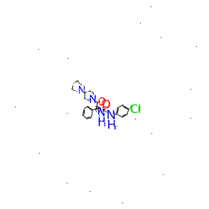 O=C(Nc1ccc(Cl)cc1)N[C@@H](C(=O)N1CCC(N2CCCCC2)CC1)c1ccccc1